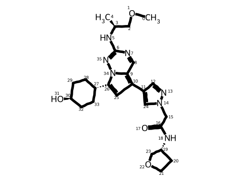 COC[C@H](C)Nc1ncc2c(-c3cnn(CC(=O)N[C@@H]4CCOC4)c3)cc([C@H]3CC[C@H](O)CC3)n2n1